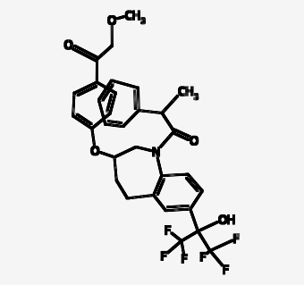 COCC(=O)c1ccc(OC2CCc3cc(C(O)(C(F)(F)F)C(F)(F)F)ccc3N(C(=O)C(C)c3ccccc3)C2)cc1